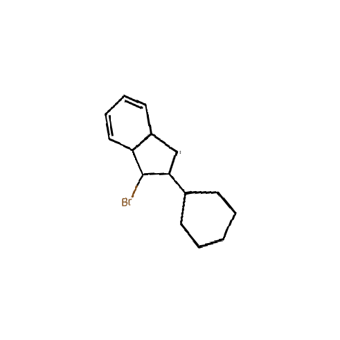 BrC1C(C2CCCCC2)[C]C2C=CC=CC21